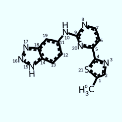 Cc1cnc(-c2ccnc(Nc3ccc4[nH]nnc4c3)n2)s1